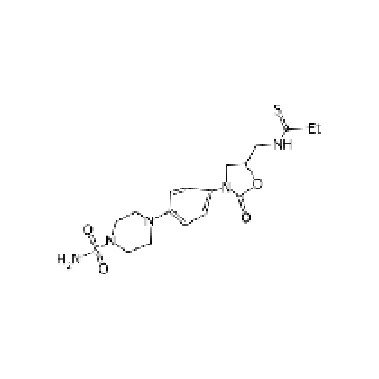 CCC(=S)NCC1CN(c2ccc(N3CCN(S(N)(=O)=O)CC3)cc2)C(=O)O1